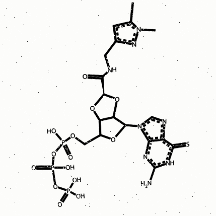 Cc1cc(CNC(=O)[C@@H]2OC3C(COP(=O)(O)OP(=O)(O)OP(=O)(O)O)OC(n4cnc5c(=S)[nH]c(N)nc54)C3O2)nn1C